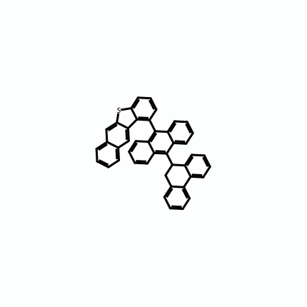 c1ccc2c(c1)CC(c1c3ccccc3c(-c3cccc4sc5cc6ccccc6cc5c34)c3ccccc13)c1ccccc1-2